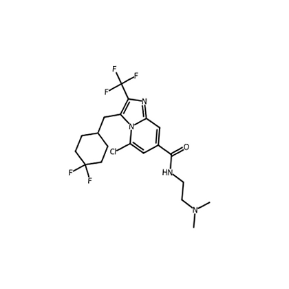 CN(C)CCNC(=O)c1cc(Cl)n2c(CC3CCC(F)(F)CC3)c(C(F)(F)F)nc2c1